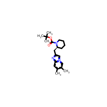 Cc1cc2nc(C[C@@H]3CCCCN3C(=O)OC(C)(C)C)cn2cc1C